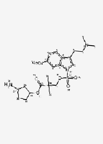 COc1ccc2c(CCN(C)C)cn(S(=O)(=O)OCC(C)(C)C(=O)OC3CCN(N)C3)c2c1